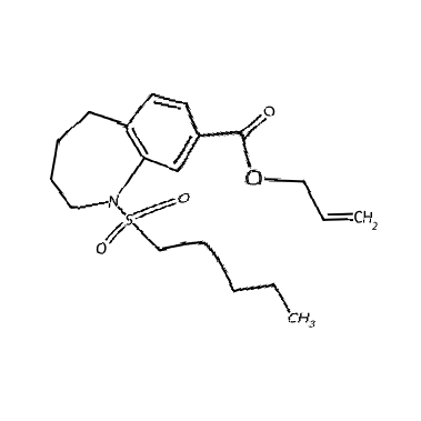 C=CCOC(=O)c1ccc2c(c1)N(S(=O)(=O)CCCCC)CCCC2